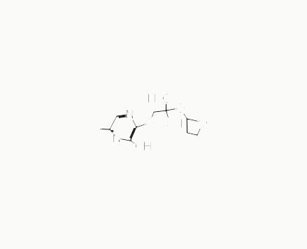 Cc1nc(I)cnc1OCC(C)(C)OC1CCO1